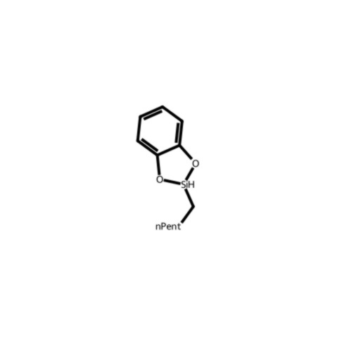 CCCCCC[SiH]1Oc2ccccc2O1